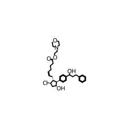 O=C(CCC/C=C\C[C@@H]1[C@@H](c2ccc(C(O)CCc3ccccc3)cc2)[C@H](O)C[C@H]1Cl)OCCN1CCOCC1